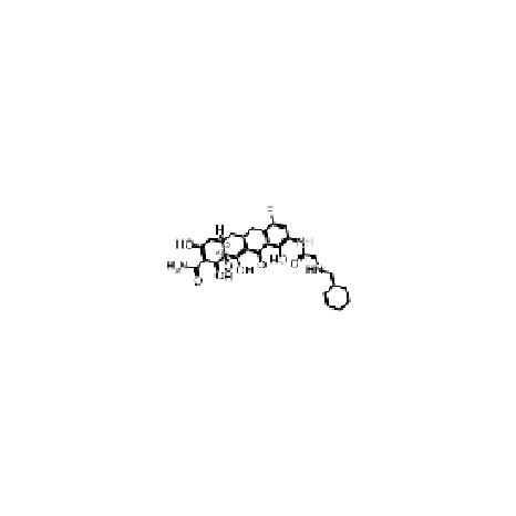 NC(=O)C1=C(O)C[C@@H]2CC3Cc4c(F)cc(NC(=O)CNCC5CCCCC5)c(O)c4C(=O)C3=C(O)[C@]2(O)C1=O